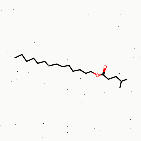 CCCCCCCCCCCCCCOC(=O)CCC(C)C